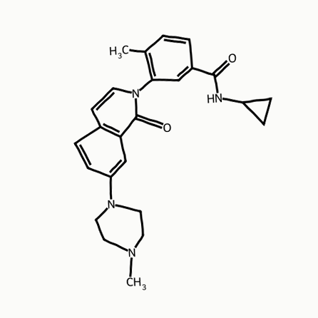 Cc1ccc(C(=O)NC2CC2)cc1-n1ccc2ccc(N3CCN(C)CC3)cc2c1=O